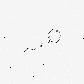 C=CC/[C]=C/c1ccccc1